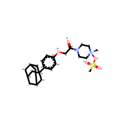 C[N+]1(OS(C)(=O)=O)CCN(C(=O)COc2ccc(C34CC5CC(CC(C5)C3)C4)cc2)CC1